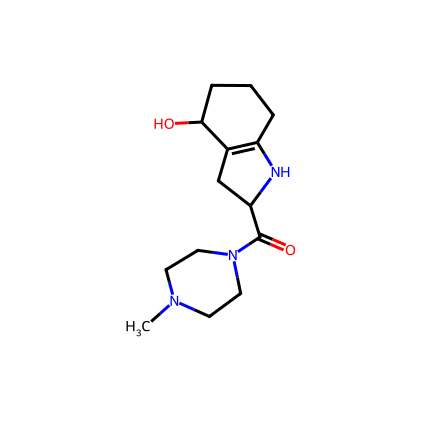 CN1CCN(C(=O)C2CC3=C(CCCC3O)N2)CC1